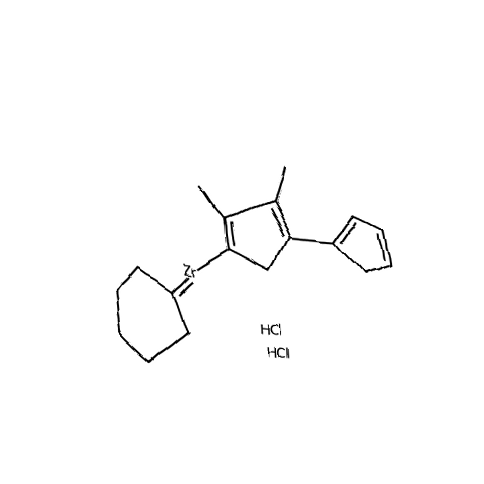 CC1=[C]([Zr]=[C]2CCCCC2)CC(C2=CC=CC2)=C1C.Cl.Cl